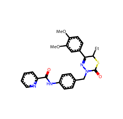 CCC1SC(=O)N(Cc2ccc(NC(=O)c3ccccn3)cc2)N=C1c1ccc(OC)c(OC)c1